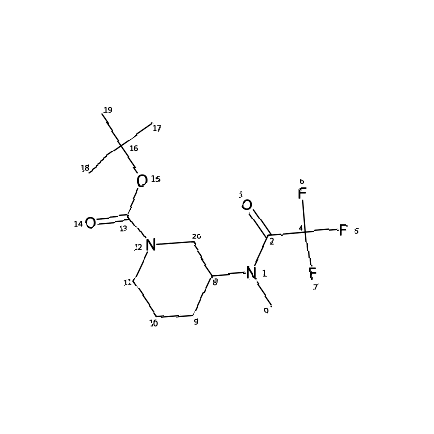 CN(C(=O)C(F)(F)F)C1CCCN(C(=O)OC(C)(C)C)C1